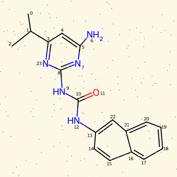 CC(C)c1cc(N)nc(NC(=O)Nc2ccc3ccccc3c2)n1